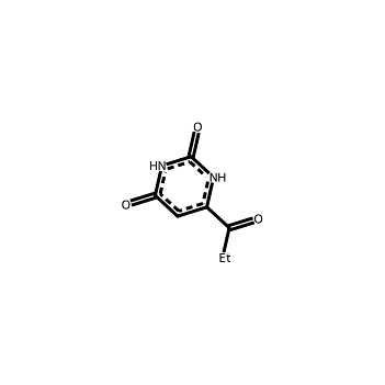 CCC(=O)c1cc(=O)[nH]c(=O)[nH]1